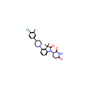 Cc1cc(C2CCN(c3cccc4c3C(C)(C)C(=O)N4C3CCC(=O)NC3=O)CC2)ccc1Cl